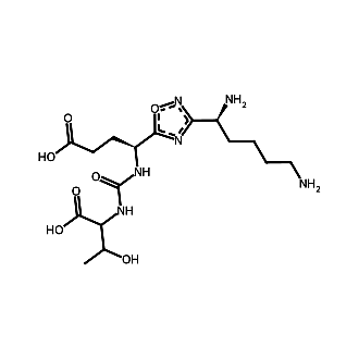 CC(O)C(NC(=O)N[C@@H](CCC(=O)O)c1nc([C@@H](N)CCCCN)no1)C(=O)O